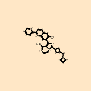 Nc1nccn2c(C3CC(CN4CCC4)C3)nc(-c3cc4nc(-c5ccccn5)ccc4cc3Cl)c12